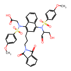 COc1ccc(S(=O)(=O)N(CC(=O)O)c2c(CCCN3C(=O)c4ccccc4C3=O)cc(N(C(C=O)CO)S(=O)(=O)c3ccc(OC)cc3)c3ccccc23)cc1